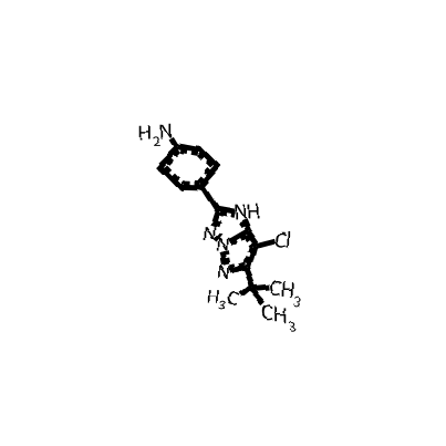 CC(C)(C)c1nn2nc(-c3ccc(N)cc3)[nH]c2c1Cl